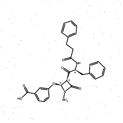 NN1C(=O)[C@H](C(=O)[C@H](Cc2ccccc2)NC(=O)CCc2ccccc2)[C@@H]1Oc1cccc(C(=O)O)c1